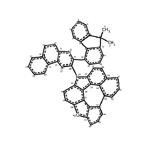 CC1(C)c2ccccc2-c2c(-c3nc4ccc5ccccc5c4nc3-n3c4ccc5cccc6c5c4c4c5c(ccc43)oc3cccc-6c35)cccc21